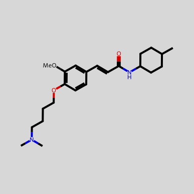 COc1cc(/C=C/C(=O)NC2CCC(C)CC2)ccc1OCCCCN(C)C